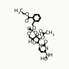 CCOC(=O)c1ccccc1COP1(=O)OC[C@H]2O[C@@H](n3ccc(NO)nc3=O)[C@H](OC(C)=O)[C@@H]2O1